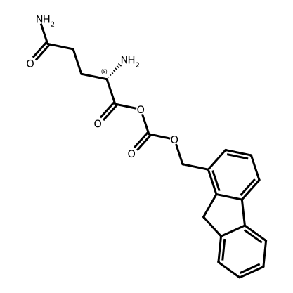 NC(=O)CC[C@H](N)C(=O)OC(=O)OCc1cccc2c1Cc1ccccc1-2